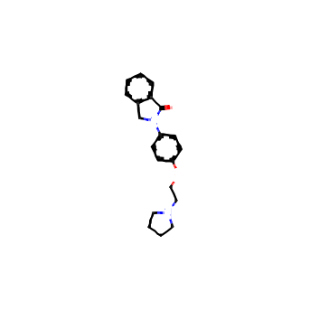 O=C1c2ccccc2CN1c1ccc(OCCN2CCCC2)cc1